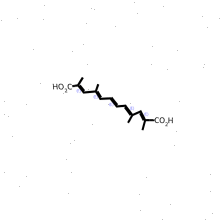 CC(=C\C=C\C=C(C)\C=C(/C)C(=O)O)/C=C(\C)C(=O)O